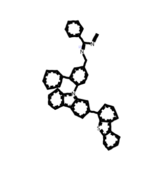 C=N/C(=N\Cc1ccc(-n2c3ccccc3c3ccc(-c4cccc5c4sc4ccccc45)cc32)c(-c2ccccc2)c1)c1ccccc1